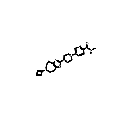 CN(C)C(=O)c1ccc(N2CCC(c3nc4c(s3)CCN(C3=CC=C3)CC4)CC2)cn1